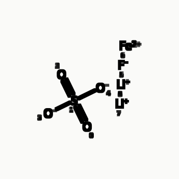 O=S(=O)([O-])[O-].[F-].[Fe+2].[Li+].[Li+]